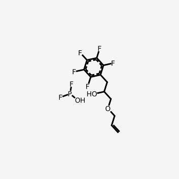 C=CCOCC(O)Cc1c(F)c(F)c(F)c(F)c1F.OP(F)F